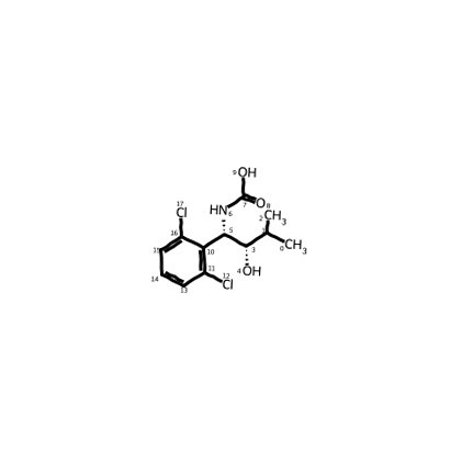 CC(C)[C@H](O)[C@@H](NC(=O)O)c1c(Cl)cccc1Cl